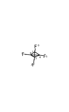 FC12C3(F)C1(F)C23F